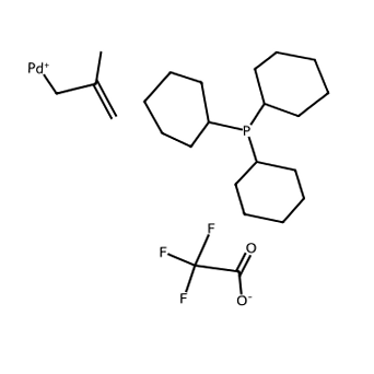 C1CCC(P(C2CCCCC2)C2CCCCC2)CC1.C=C(C)[CH2][Pd+].O=C([O-])C(F)(F)F